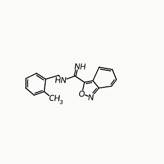 Cc1ccccc1CNC(=N)c1onc2ccccc12